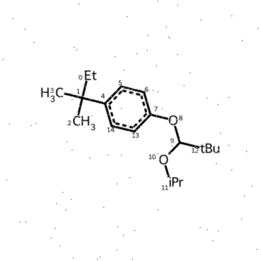 CCC(C)(C)c1ccc(OC(OC(C)C)C(C)(C)C)cc1